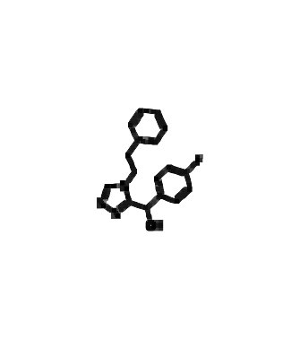 OC(c1ccc(F)cc1)c1nncn1CCc1ccccc1